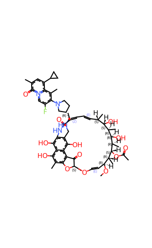 CO[C@H]1/C=C/O[C@@]2(C)Oc3c(C)c(O)c4c(O)c(c(CNC[C@H]5CCN(c6c(F)cn7c(=O)c(C)cc(C8CC8)c7c6C)C5)c(O)c4c3C2=O)NC(=O)/C(C)=C\C=C\[C@H](C)[C@H](O)[C@@H](C)[C@@H](O)[C@@H](C)[C@H](OC(C)=O)[C@@H]1C